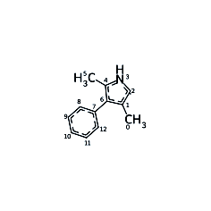 Cc1[c][nH]c(C)c1-c1ccccc1